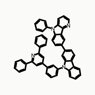 c1ccc(-c2cc(-c3cccc(-n4c5ccccc5c5ccc(-c6ccc7c(c6)c6ncccc6n7-c6ccccc6)cc54)c3)cc(-c3ccccc3)n2)cc1